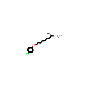 CCOC(=O)C(CCCCCCCOc1ccc(Cl)cc1)C(C)=O